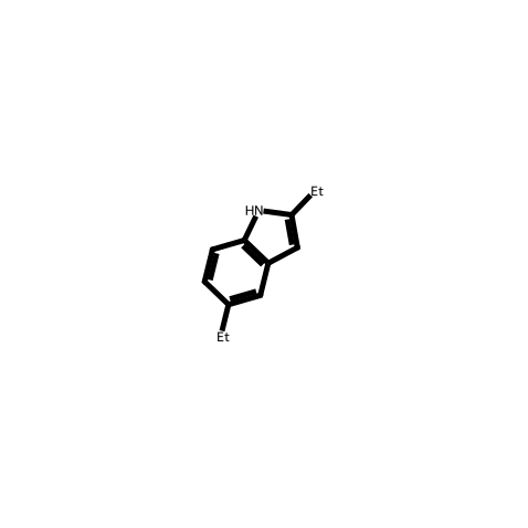 CCc1ccc2[nH]c(CC)cc2c1